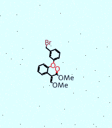 COC=C(C(=O)OC)c1ccccc1Oc1cccc(CBr)c1